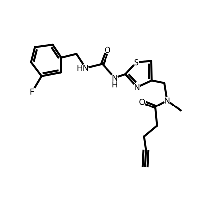 C#CCCC(=O)N(C)Cc1csc(NC(=O)NCc2cccc(F)c2)n1